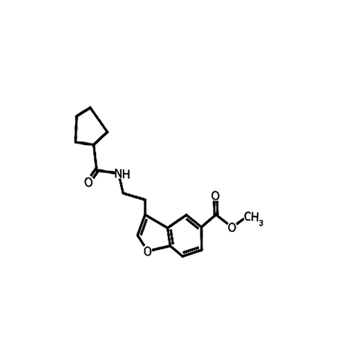 COC(=O)c1ccc2occ(CCNC(=O)C3CCCC3)c2c1